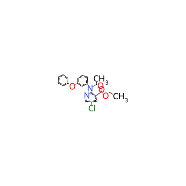 CCOC(=O)c1cc(Cl)cnc1N(C(C)=O)c1cccc(Oc2ccccc2)c1